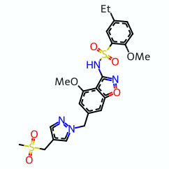 CCc1ccc(OC)c(S(=O)(=O)Nc2noc3cc(Cn4cc(CS(C)(=O)=O)cn4)cc(OC)c23)c1